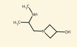 CNC(C)CN1CC(O)C1